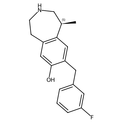 C[C@@H]1CNCCc2cc(O)c(Cc3cccc(F)c3)cc21